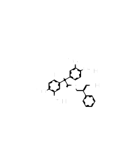 COc1ccc(C(O)(C(=O)OCC(=CO)c2ccccc2)c2ccc(OC)c(OC)c2)cc1OC